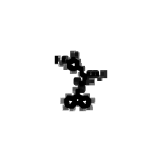 CCc1cc(CC[C@H](NC(=O)OCC2c3ccccc3-c3ccccc32)C(=O)O)ccc1C(F)(F)F